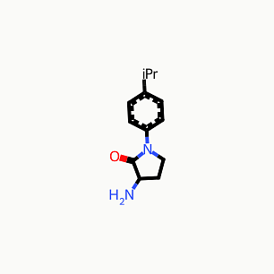 CC(C)c1ccc(N2CCC(N)C2=O)cc1